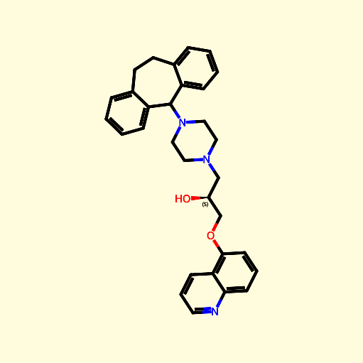 O[C@H](COc1cccc2ncccc12)CN1CCN(C2c3ccccc3CCc3ccccc32)CC1